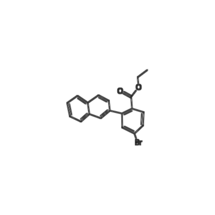 CCOC(=O)c1ccc(Br)cc1-c1ccc2ccccc2c1